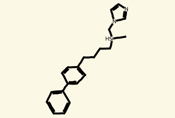 C[SiH](CCCCc1ccc(-c2ccccc2)cc1)Cn1ccnc1